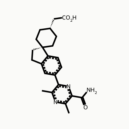 Cc1nc(C)c(-c2ccc3c(c2)CC[C@]32CC[C@@H](CC(=O)O)CC2)nc1C(N)=O